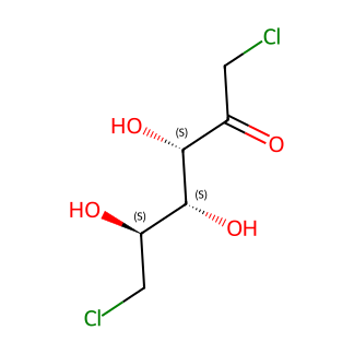 O=C(CCl)[C@@H](O)[C@H](O)[C@H](O)CCl